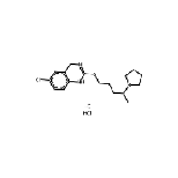 CC(CCCSC1=NCc2cc(Cl)ccc2N1)N1CCCC1.Cl.Cl